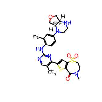 CCc1cc(N2CCN[C@@H]3COC[C@@H]32)ccc1Nc1ncc(C(F)(F)F)c(-c2cc3c(s2)C(=O)N(C)CCS3(=O)=O)n1